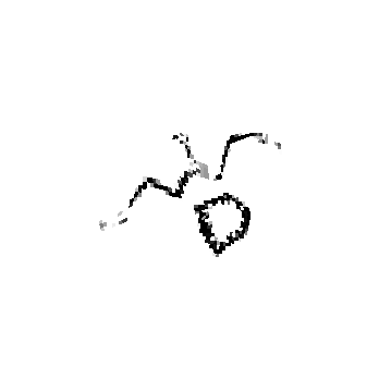 CCC[SiH](O)CCC.c1ccccc1